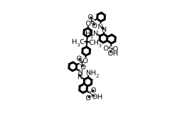 CC(C)(c1ccc(OS(=O)(=O)c2ccccc2N=Nc2c(N)ccc3c(S(=O)(=O)O)cccc23)cc1)c1ccc(OS(=O)(=O)c2ccccc2/N=N/c2c(N)ccc3c(S(=O)(=O)O)cccc23)cc1